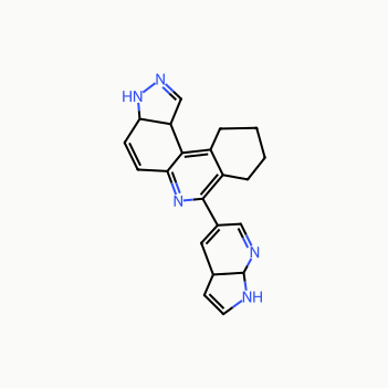 C1=CC2C=C(c3nc4c(c5c3CCCC5)C3C=NNC3C=C4)C=NC2N1